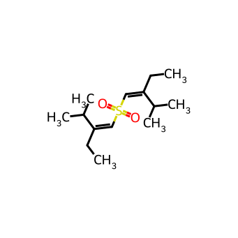 CCC(=CS(=O)(=O)C=C(CC)C(C)C)C(C)C